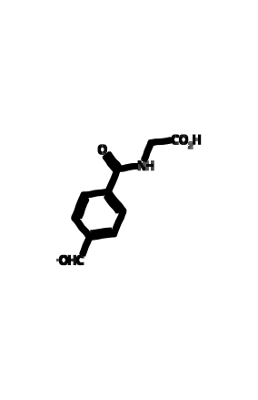 O=[C]c1ccc(C(=O)NCC(=O)O)cc1